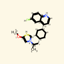 COC1=CN([C@H](C)C[C@H]2CC[C@@H](c3ccnc4ccc(F)cc43)CC2)CS1